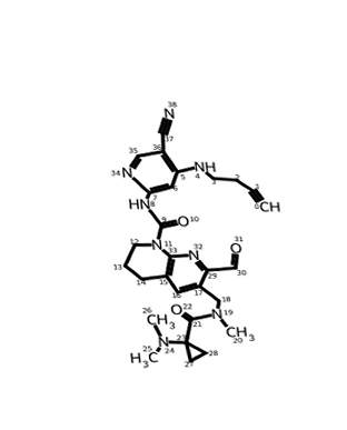 C#CCCNc1cc(NC(=O)N2CCCc3cc(CN(C)C(=O)C4(N(C)C)CC4)c(C=O)nc32)ncc1C#N